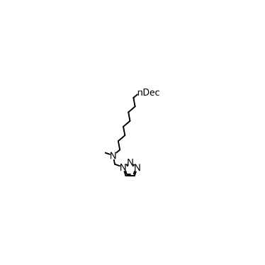 CCCCCCCCCCCCCCCCCCN(C)Cn1ccnn1